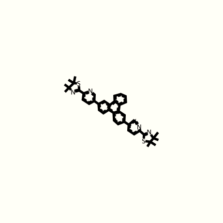 CC1(C)N=C(c2ccc(-c3ccc4c5ccc(-c6ccc(C7=NC(C)(C)C(C)(C)S7)nc6)cc5c5ccccc5c4c3)cn2)SC1(C)C